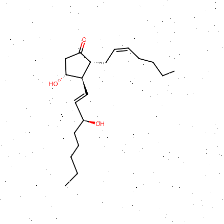 CCCC/C=C\C[C@H]1C(=O)C[C@@H](O)[C@@H]1/C=C/[C@@H](O)CCCCC